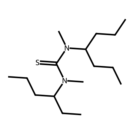 CCCC(CC)N(C)C(=S)N(C)C(CCC)CCC